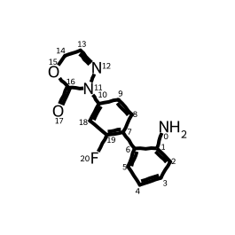 Nc1ccccc1-c1ccc(N2N=CCOC2=O)cc1F